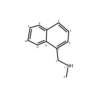 CNCc1cccc2ccccc12